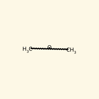 CCCCCCCCCCCCCCCCCC(=O)CCCCCCCCCCCCCCCCC